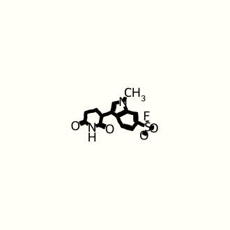 Cn1cc(C2CCC(=O)NC2=O)c2ccc(S(=O)(=O)F)cc21